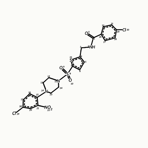 O=C(NCc1ccc(S(=O)(=O)N2CCN(c3ccc(Cl)cc3[N+](=O)[O-])CC2)s1)c1ccc(Cl)cc1